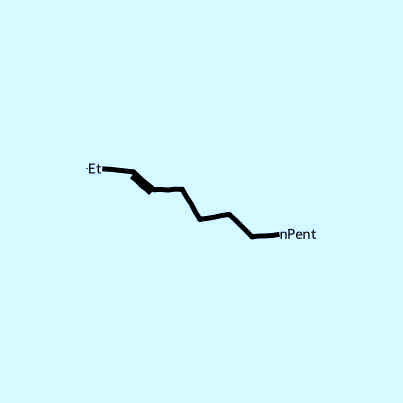 C[CH]C=CCCCCCCCCC